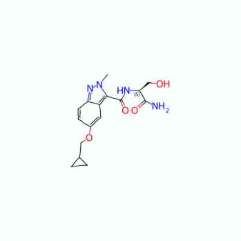 Cn1nc2ccc(OCC3CC3)cc2c1C(=O)N[C@@H](CO)C(N)=O